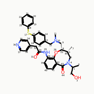 CC(CO)N1C[C@@H](C)[C@@H](CN(C)Cc2ccc(Sc3ccccc3)cc2)Oc2c(NC(=O)Cc3ccncc3)cccc2C1=O